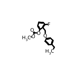 CCc1ccc(OCc2c(F)cccc2OC(=O)OC)cc1